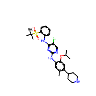 BC(C)(C)S(=O)(=O)c1ccccc1Nc1nc(Nc2cc(C)c(C3CCNCC3)cc2OC(C)C)ncc1Cl